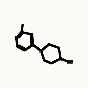 Cc1cc(N2CCN(N=O)CC2)ccn1